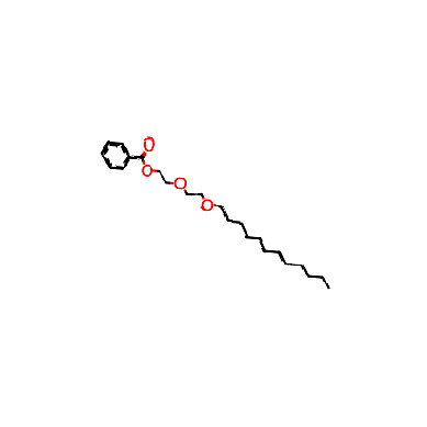 CCCCCCCCCCCCOCCOCCOC(=O)c1ccccc1